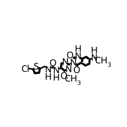 CNc1ccc2c(=O)n(-c3ncc(NC(=O)NCc4ccc(Cl)s4)c(OC)n3)c(=O)[nH]c2c1